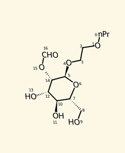 CCCOCCO[C@H]1O[C@H](CO)[C@@H](O)[C@H](O)[C@@H]1OC=O